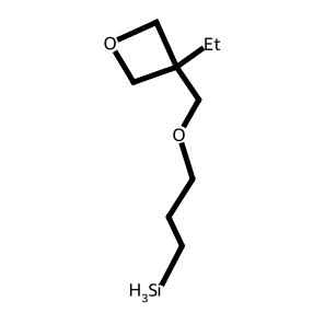 CCC1(COCCC[SiH3])COC1